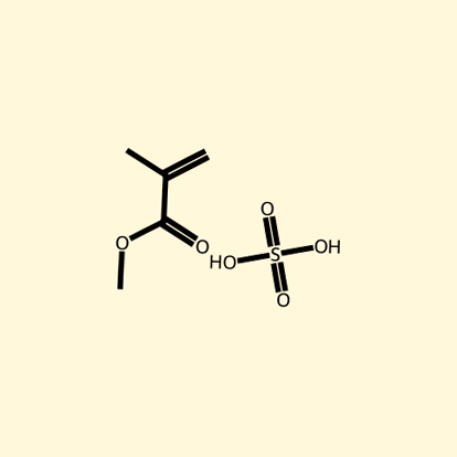 C=C(C)C(=O)OC.O=S(=O)(O)O